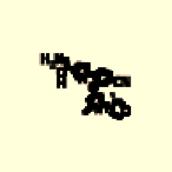 Cc1cc(Oc2cc(C#N)ccc2-c2ccc(C(O)CN)cn2)cc(N2CCOC[C@H]2C)n1